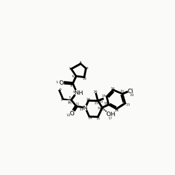 CC[C@@H](NC(=O)C1CCCC1)C(=O)N1CC[C@](O)(c2ccc(Cl)cc2)C(C)(C)C1